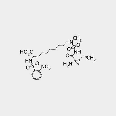 C=C[C@@H]1C[C@@]1(N)C(=O)NS(=O)(=O)N(C)CCCCCCCC[C@H](NS(=O)(=O)c1ccccc1[N+](=O)[O-])C(=O)O